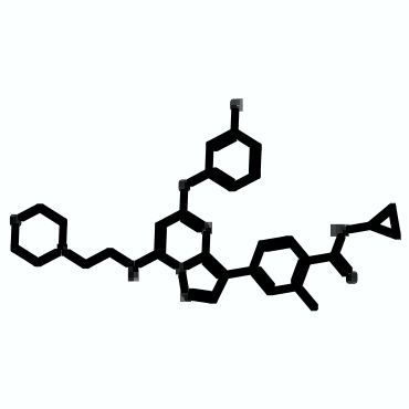 Cc1cc(-c2cnn3c(NCCN4CCOCC4)cc(Oc4cccc(Cl)c4)nc23)ccc1C(=O)NC1CC1